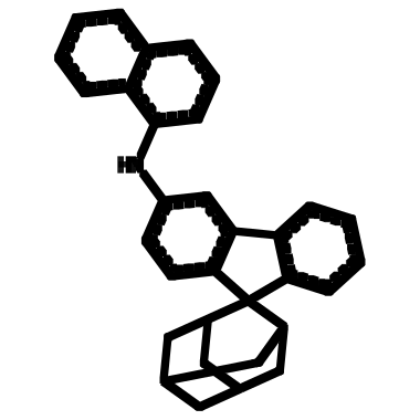 c1ccc2c(c1)-c1cc(Nc3cccc4ccccc34)ccc1C21C2CC3CC(C2)CC1C3